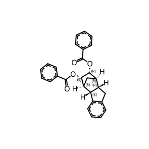 O=C(O[C@@H]1[C@@H]2C[C@H]([C@@H]1OC(=O)c1ccccc1)[C@H]1c3ccccc3C[C@@H]21)c1ccccc1